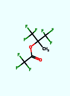 CC(OC(=O)C(F)(F)F)(C(F)(F)F)C(F)(F)F